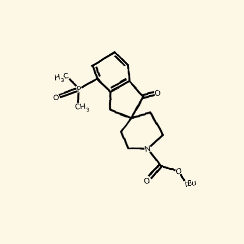 CC(C)(C)OC(=O)N1CCC2(CC1)Cc1c(cccc1P(C)(C)=O)C2=O